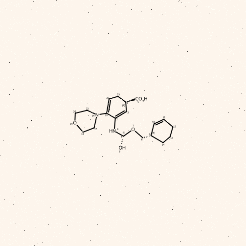 O=C(O)[C@H]1C=C(N[C@@H](O)OC[C@@H]2C=CCCC2)C(N2CCOCC2)=CC1